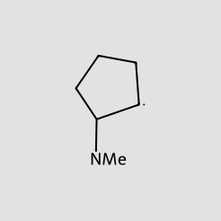 CNC1[CH]CCC1